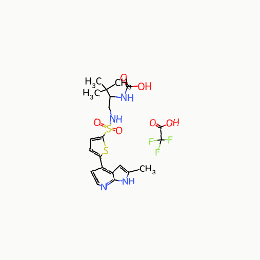 Cc1cc2c(-c3ccc(S(=O)(=O)NCC(NC(=O)O)C(C)(C)C)s3)ccnc2[nH]1.O=C(O)C(F)(F)F